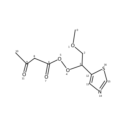 COCC(OOC(=O)CC(C)=O)c1cncs1